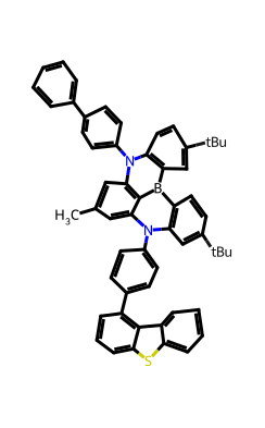 Cc1cc2c3c(c1)N(c1ccc(-c4cccc5sc6ccccc6c45)cc1)c1cc(C(C)(C)C)ccc1B3c1cc(C(C)(C)C)ccc1N2c1ccc(-c2ccccc2)cc1